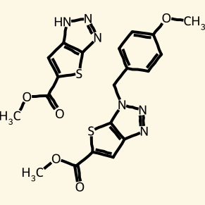 COC(=O)c1cc2[nH]nnc2s1.COC(=O)c1cc2nnn(Cc3ccc(OC)cc3)c2s1